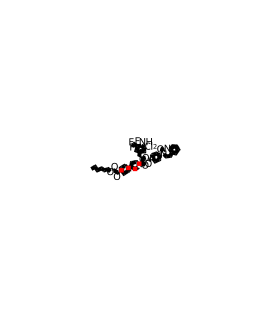 CCCCCCOC(=O)C(=O)N1CCN(C2CCN(C(=O)[C@@H](Cc3cc(Cl)c(N)c(C(F)(F)F)c3)OC(=O)N3CCC(N4CCc5ccccc5NC4=O)CC3)CC2)CC1